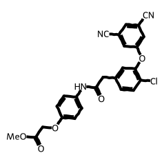 COC(=O)COc1ccc(NC(=O)Cc2ccc(Cl)c(Oc3cc(C#N)cc(C#N)c3)c2)cc1